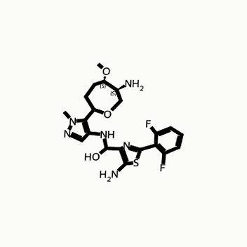 CO[C@H]1CCC(c2c(NC(O)c3nc(-c4c(F)cccc4F)sc3N)cnn2C)OC[C@@H]1N